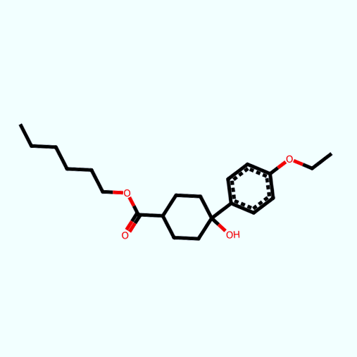 CCCCCCOC(=O)C1CCC(O)(c2ccc(OCC)cc2)CC1